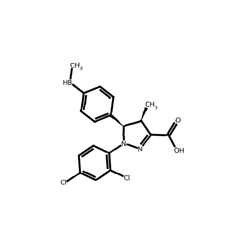 CBc1ccc([C@H]2[C@@H](C)C(C(=O)O)=NN2c2ccc(Cl)cc2Cl)cc1